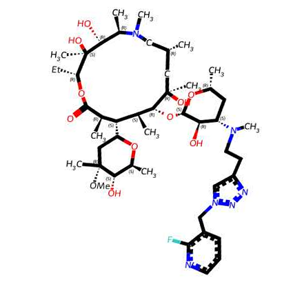 CC[C@H]1OC(=O)[C@H](C)[C@@H](C2C[C@@](C)(OC)[C@@H](O)[C@H](C)O2)[C@H](C)[C@@H](O[C@@H]2O[C@H](C)C[C@H](N(C)CCc3cn(Cc4cccnc4F)nn3)[C@H]2O)[C@](C)(O)C[C@@H](C)CN(C)[C@H](C)[C@@H](O)[C@]1(C)O